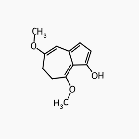 COC1=CC2=CC=C(O)C2=C(OC)CC1